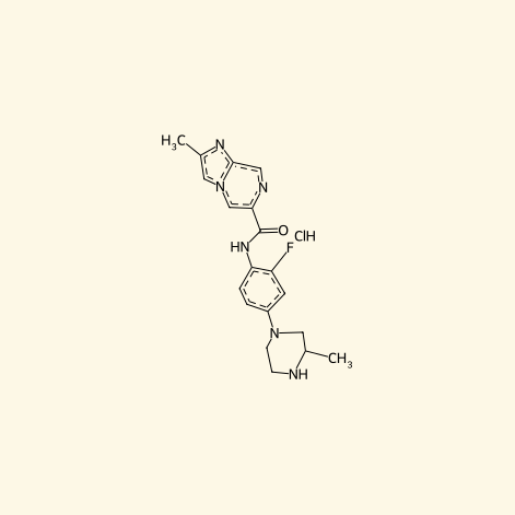 Cc1cn2cc(C(=O)Nc3ccc(N4CCNC(C)C4)cc3F)ncc2n1.Cl